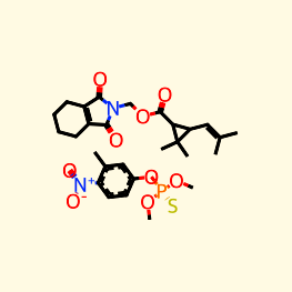 CC(C)=CC1C(C(=O)OCN2C(=O)C3=C(CCCC3)C2=O)C1(C)C.COP(=S)(OC)Oc1ccc([N+](=O)[O-])c(C)c1